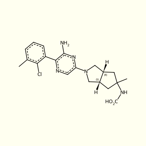 Cc1cccc(-c2ncc(N3C[C@@H]4CC(C)(NC(=O)O)C[C@@H]4C3)nc2N)c1Cl